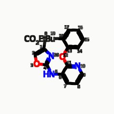 CCOC(=O)c1coc(Nc2cccnc2Oc2ccccc2C(C)(C)C)n1